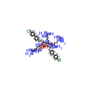 N=C(N)NCCC[C@@H](N)C(=O)N[C@H](Cc1ccc(-c2ccc(Cl)cc2)cc1)C(=O)N[C@H](CCCNC(=N)N)C(=O)N[C@H](CCc1ccc(-c2ccc(Cl)cc2)cc1)C(=O)N[C@H](CCCNC(=N)N)C(N)=O